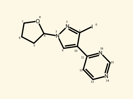 Ic1nn(C2CCCO2)cc1-c1ccncn1